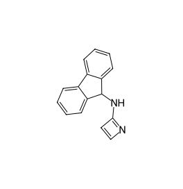 C1=CC(NC2c3ccccc3-c3ccccc32)=N1